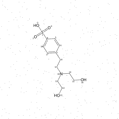 O=S(=O)(O)c1ccc(CCN(CCO)CCO)cc1